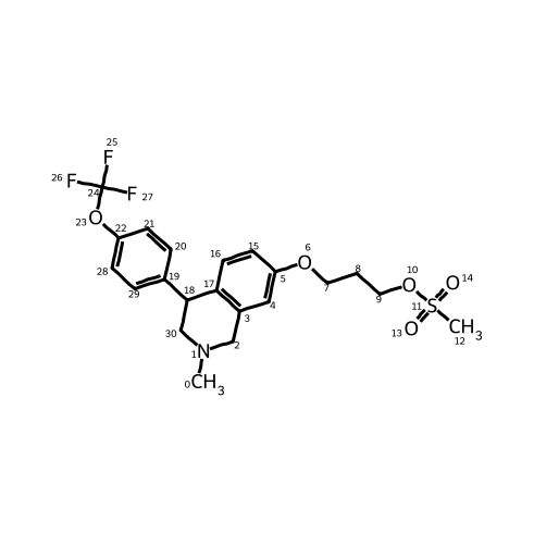 CN1Cc2cc(OCCCOS(C)(=O)=O)ccc2C(c2ccc(OC(F)(F)F)cc2)C1